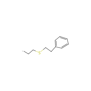 [CH2]CCSCCc1ccccc1